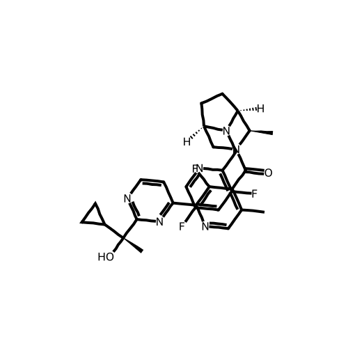 Cc1cnc(-c2ccnc([C@](C)(O)C3CC3)n2)c(F)c1C(=O)N1C[C@H]2CC[C@@H]([C@H]1C)N2Cc1ncc(F)cc1F